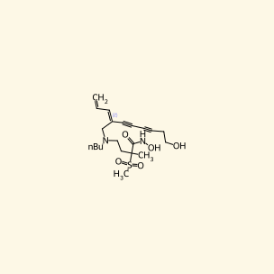 C=C/C=C(/C#CC#CCCO)CN(CCCC)CCC(C)(C(=O)NO)S(C)(=O)=O